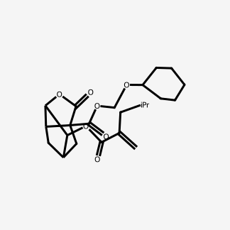 C=C(CC(C)C)C(=O)OC1C2CC3C1OC(=O)C3(C(=O)OCOC1CCCCC1)C2